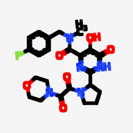 CN(Cc1ccc(F)cc1)C(=O)c1nc(C2CCCN2C(=O)C(=O)N2CCOCC2)[nH]c(=O)c1O